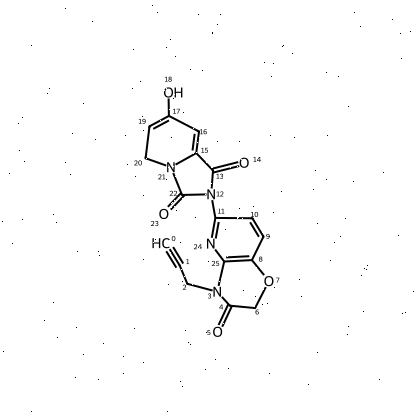 C#CCN1C(=O)COc2ccc(N3C(=O)C4=CC(O)=CCN4C3=O)nc21